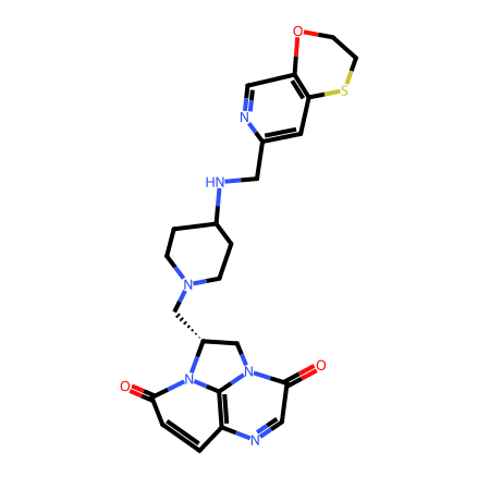 O=c1cnc2ccc(=O)n3c2n1C[C@H]3CN1CCC(NCc2cc3c(cn2)OCCS3)CC1